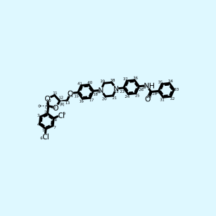 C[C@]1(c2ccc(Cl)cc2Cl)OC[C@@H](COc2ccc(N3CCN(c4ccc(NC(=O)c5ccccc5)cc4)CC3)cc2)O1